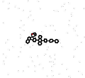 c1ccc(-c2ccc(-c3ccc(-c4c5ccccc5c(-c5ccc6c(c5)C5(c7ccc8ccccc8c7-6)C6CC7CC(C6)CC5C7)c5ccccc45)cc3)cc2)cc1